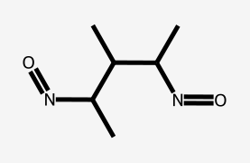 CC(N=O)C(C)C(C)N=O